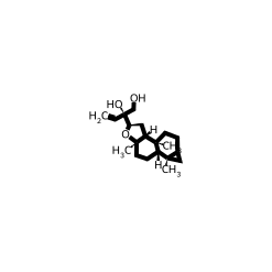 C=C[C@@](O)(CO)[C@H]1C[C@@H]2[C@@]3(C)CCC4C[C@@]4(C)[C@@H]3CC[C@@]2(C)O1